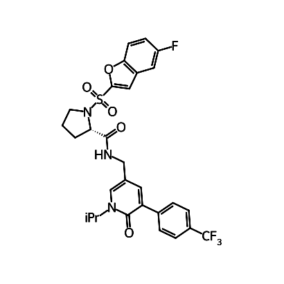 CC(C)n1cc(CNC(=O)[C@@H]2CCCN2S(=O)(=O)c2cc3cc(F)ccc3o2)cc(-c2ccc(C(F)(F)F)cc2)c1=O